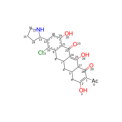 CC(=O)C1=C(O)CC2CC3Cc4c(Cl)c(C5CCCN5)cc(O)c4C(=O)C3=C(O)C2C1=O